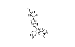 CCCC(=O)N[C@H](c1ccn2cc([C@@H](NC(=O)c3ccnn3C(C)C)C3CCC(F)(F)CC3)nc2n1)C1CC1